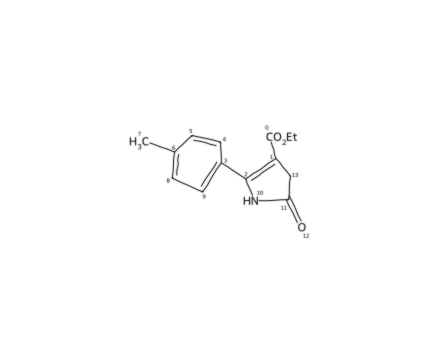 CCOC(=O)C1=C(c2ccc(C)cc2)NC(=O)C1